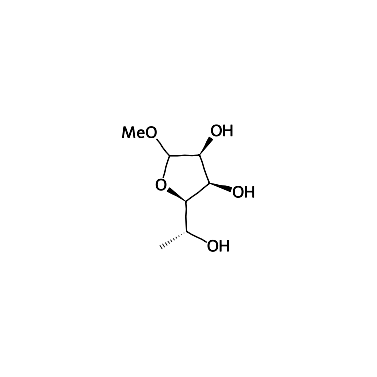 COC1O[C@H]([C@@H](C)O)[C@H](O)[C@@H]1O